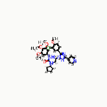 COc1ccc(-c2nc(-c3ccncc3)nn2CCN(C(=O)Nc2cc(OC)c(OC)c(OC)c2)C2CCCC2)cc1Cl